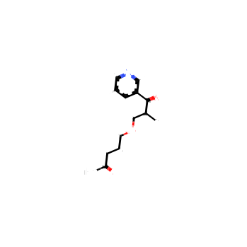 CC(C)C(=O)CCCOCC(C)C(=O)c1cccnc1